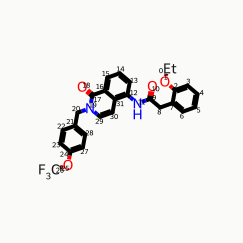 CCOc1ccccc1CC(=O)Nc1cccc2c(=O)n(Cc3ccc(OC(F)(F)F)cc3)ccc12